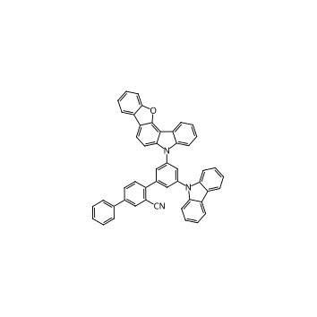 N#Cc1cc(-c2ccccc2)ccc1-c1cc(-n2c3ccccc3c3ccccc32)cc(-n2c3ccccc3c3c4oc5ccccc5c4ccc32)c1